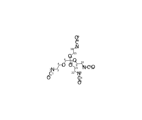 O=C=NCCOCC(OCCN=C=O)(OCCN=C=O)OCCN=C=O